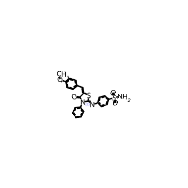 COc1ccc(C=C2S/C(=N\c3ccc(S(N)(=O)=O)cc3)N(c3ccccc3)C2=O)cc1